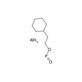 O=POCCC1CCCCC1.[AlH3]